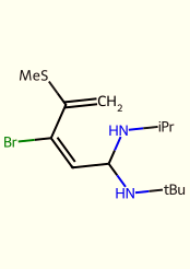 C=C(SC)/C(Br)=C\C(NC(C)C)NC(C)(C)C